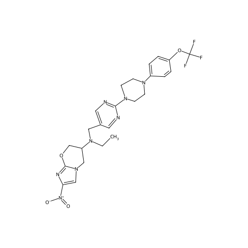 CCN(Cc1cnc(N2CCN(c3ccc(OC(F)(F)F)cc3)CC2)nc1)C1COc2nc([N+](=O)[O-])cn2C1